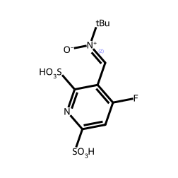 CC(C)(C)/[N+]([O-])=C/c1c(F)cc(S(=O)(=O)O)nc1S(=O)(=O)O